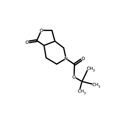 CC(C)(C)OC(=O)N1CCC2C(=O)OCC2C1